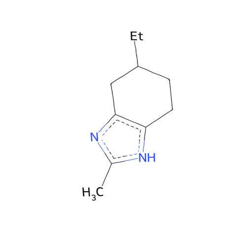 CCC1CCc2[nH]c(C)nc2C1